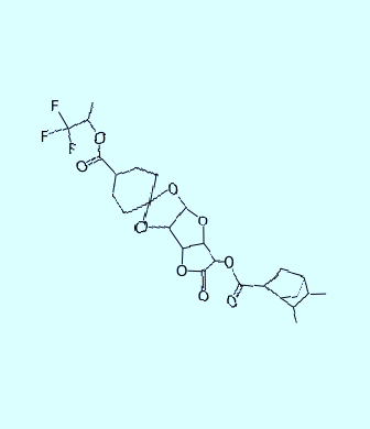 CC1C2CC(C(=O)OC3C(=O)OC4C5OC6(CCC(C(=O)OC(C)C(F)(F)F)CC6)OC5OC34)C(C2)C1C